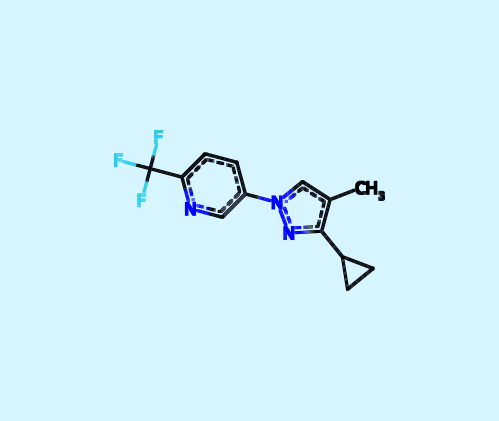 Cc1cn(-c2ccc(C(F)(F)F)nc2)nc1C1CC1